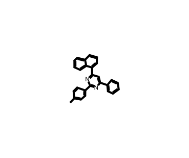 Cc1ccc(-c2nc(-c3ccccc3)cc(-c3cccc4ccccc34)n2)cc1